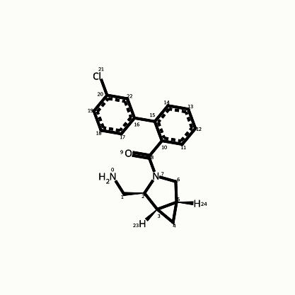 NC[C@@H]1[C@H]2C[C@H]2CN1C(=O)c1ccccc1-c1cccc(Cl)c1